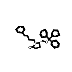 O=C1CC[C@@H](COC(c2ccccc2)(c2ccccc2)c2ccccc2)N1CCCCc1ccccc1